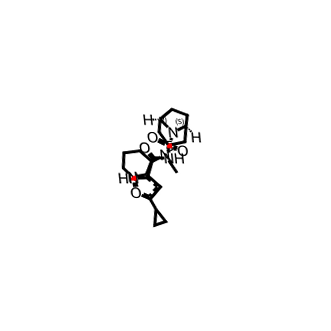 CN(C1CCCNC1)S(=O)(=O)N1[C@@H]2CC[C@H]1C[C@@H](NC(=O)c1cc(C3CC3)on1)C2